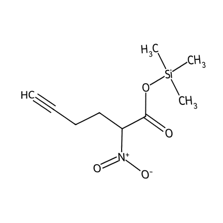 C#CCCC(C(=O)O[Si](C)(C)C)[N+](=O)[O-]